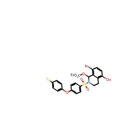 CCOC(=O)OC1c2c(Br)ccc(O)c2CCN1S(=O)(=O)c1ccc(Oc2ccc(F)cc2)cc1